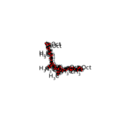 CCCCCCCCC1(CCCCCCCC)c2ccccc2-c2ccc(-c3ccc4c(c3)C(C)(C)c3cc(-c5ccc(-c6ccc(N(c7ccc(C)cc7)c7ccc8c(c7)C(C)(C)c7cc(N(c9ccc(C)cc9)c9ccc(-c%10ccc(-c%11ccc%12c(c%11)C(C)(C)c%11cc(-c%13ccc%14c(c%13)C(CCCCCCCC)(CCCCCCCC)c%13ccccc%13-%14)ccc%11-%12)cc%10)cc9)c9ccccc9c7-8)cc6)cc5)ccc3-4)cc21